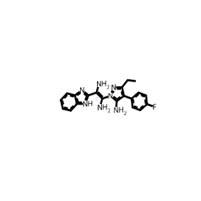 CCc1nn(/C(N)=C(\N)c2nc3ccccc3[nH]2)c(N)c1-c1ccc(F)cc1